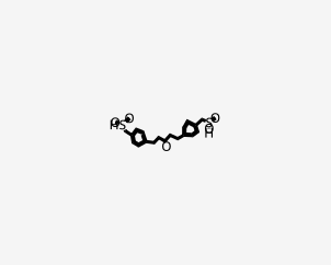 O=C(CCc1ccc(C[SH](=O)=O)cc1)CCc1ccc(C[SH](=O)=O)cc1